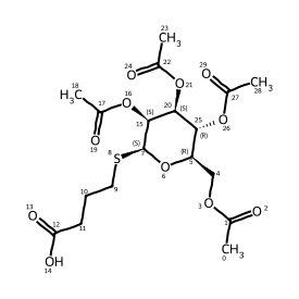 CC(=O)OC[C@H]1O[C@@H](SCCCC(=O)O)[C@@H](OC(C)=O)[C@@H](OC(C)=O)[C@@H]1OC(C)=O